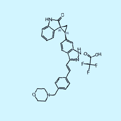 O=C(O)C(F)(F)F.O=C1Nc2ccccc2[C@]12C[C@H]2c1ccc2c(C=Cc3ccc(CN4CCOCC4)cc3)n[nH]c2c1